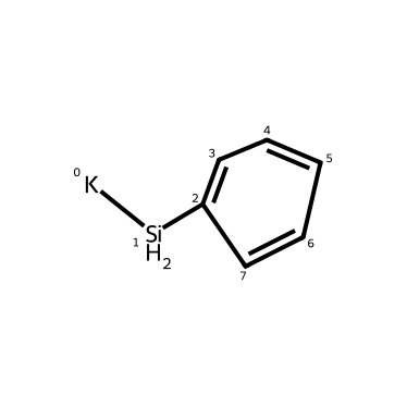 [K][SiH2]c1ccccc1